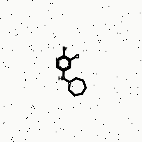 Clc1cc(NN2CCCCCC2)cnc1Br